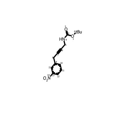 CC(C)(C)OC(=O)NCC#CCc1cccc([N+](=O)[O-])c1